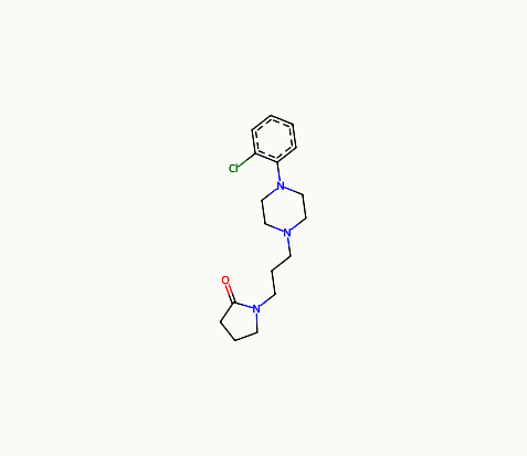 O=C1CCCN1CCCN1CCN(c2ccccc2Cl)CC1